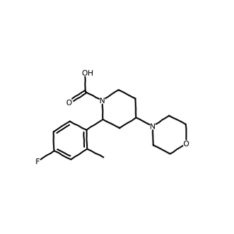 Cc1cc(F)ccc1C1CC(N2CCOCC2)CCN1C(=O)O